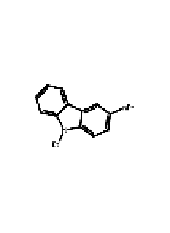 CCCc1ccc2c(c1)c1ccccc1n2CC